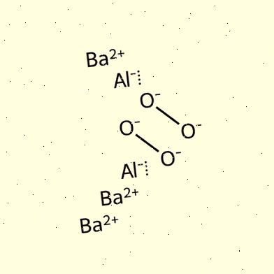 [Al-].[Al-].[Ba+2].[Ba+2].[Ba+2].[O-][O-].[O-][O-]